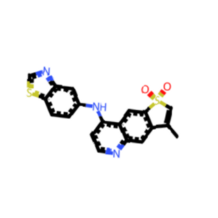 CC1=CS(=O)(=O)c2cc3c(Nc4ccc5scnc5c4)ccnc3cc21